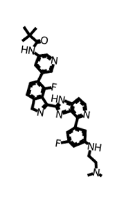 CN(C)CCNc1cc(F)cc(-c2nccc3[nH]c(C4=NCc5ccc(-c6cncc(NC(=O)C(C)(C)C)c6)c(F)c54)nc23)c1